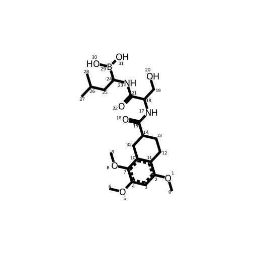 COc1cc(OC)c(OC)c2c1CCC(C(=O)NC(CO)C(=O)NC(CC(C)C)B(O)O)C2